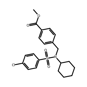 COC(=O)c1ccc(CN(C2CCCCC2)S(=O)(=O)c2ccc(Cl)cc2)cc1